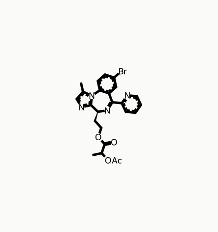 CC(=O)OC(C)C(=O)OCC[C@@H]1N=C(c2ccccn2)c2cc(Br)ccc2-n2c(C)cnc21